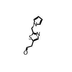 O=CCc1cnc(Cn2cccc2)s1